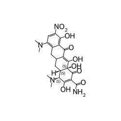 CN(C)c1cc([N+](=O)[O-])c(O)c2c1CC1C[C@H]3[C@H](N(C)C)C(O)=C(C(N)=O)C(=O)[C@@]3(O)C(O)=C1C2=O